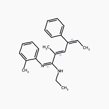 C\C=C(/C=C(C)/C(=N\c1ccccc1C)NCC)c1ccccc1